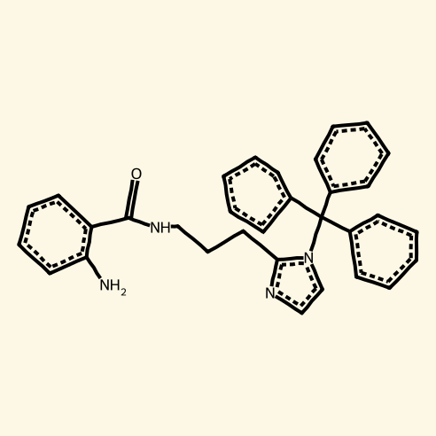 Nc1ccccc1C(=O)NCCCc1nccn1C(c1ccccc1)(c1ccccc1)c1ccccc1